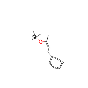 CC(=CCc1ccccc1)O[Si](C)(C)C